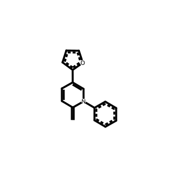 C=C1C=CC(c2ccco2)=CN1c1ccccc1